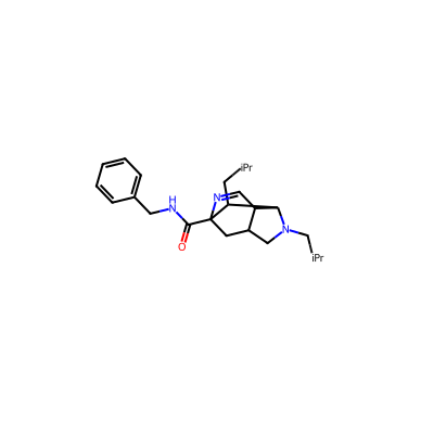 CC(C)CC1C2C3C=NC1(C(=O)NCc1ccccc1)CC3CN2CC(C)C